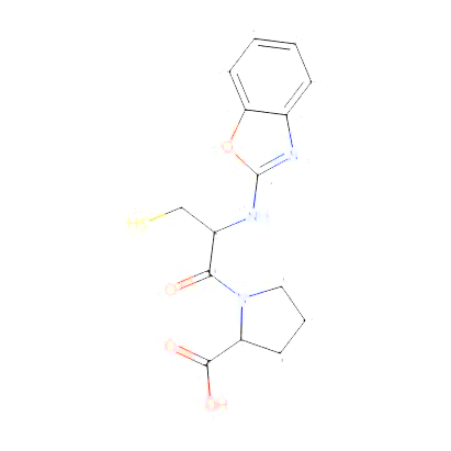 O=C(O)C1CCCN1C(=O)C(CS)Nc1nc2ccccc2o1